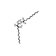 CCCCCCCCCCC(OC)=C(OC)C(OC)OC(OC)C(OC)=C(CCCCCCCCCC)OC